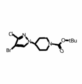 CC(C)(C)OC(=O)N1CCC(n2cc(Br)c(Cl)n2)CC1